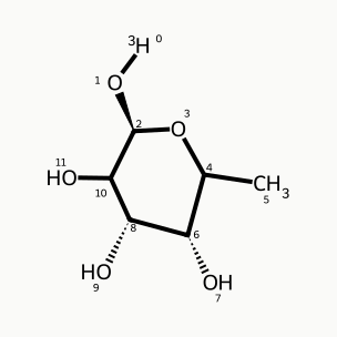 [3H]O[C@H]1OC(C)[C@H](O)[C@H](O)C1O